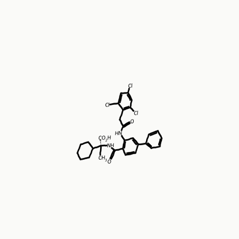 C[C@@](NC(=O)c1ccc(-c2ccccc2)cc1NC(=O)Cc1c(Cl)cc(Cl)cc1Cl)(C(=O)O)C1CCCCC1